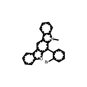 Cn1c2ccccc2c2cc3c(oc4ccccc43)c(-c3ccccc3Br)c21